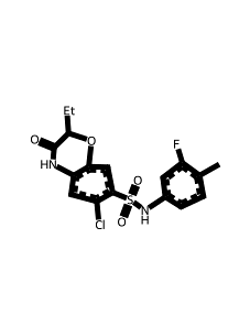 CCC1Oc2cc(S(=O)(=O)Nc3ccc(C)c(F)c3)c(Cl)cc2NC1=O